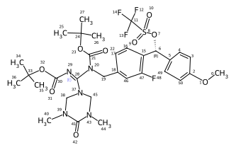 COc1ccc([C@@H](OS(=O)(=O)C(F)(F)F)c2ccc(CN(C(=O)OC(C)(C)C)/C(=N/C(=O)OC(C)(C)C)N3CN(C)C(=O)N(C)C3)cc2F)cc1